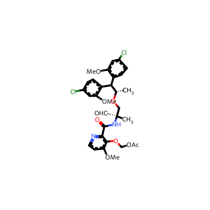 COc1cc(Cl)ccc1C(c1ccc(Cl)cc1OC)[C@H](C)OC[C@](C)(C=O)NC(=O)c1nccc(OC)c1OCOC(C)=O